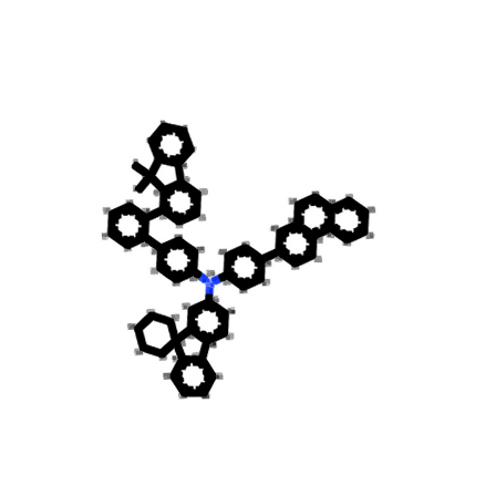 CC1(C)c2ccccc2-c2cccc(-c3ccccc3-c3ccc(N(c4ccc(-c5ccc6c(ccc7ccccc76)c5)cc4)c4ccc5c(c4)C4(CCCCC4)c4ccccc4-5)cc3)c21